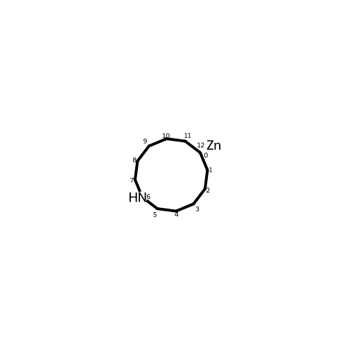 C1CCCCCNCCCCC1.[Zn]